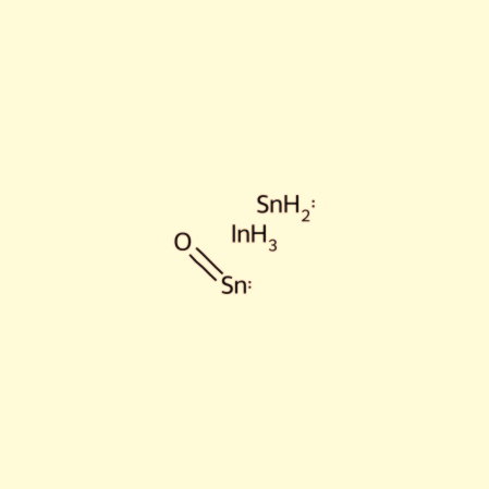 [InH3].[O]=[Sn].[SnH2]